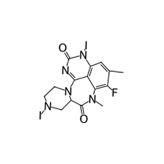 Cc1cc2c3c(nc(=O)n2I)N2CCN(I)CC2C(=O)N(C)c3c1F